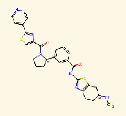 CN[C@H]1CCc2nc(NC(=O)c3cccc([C@H]4CCCN4C(=O)c4csc(-c5ccncc5)n4)c3)sc2C1